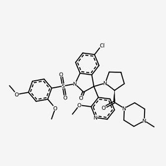 COc1ccc(S(=O)(=O)N2C(=O)C(c3cccnc3OC)(N3CCC[C@H]3C(=O)N3CCN(C)CC3)c3cc(Cl)ccc32)c(OC)c1